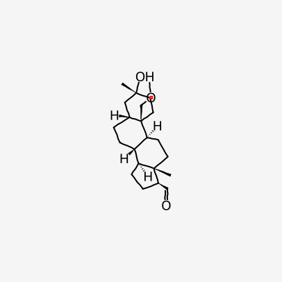 COC[C@]12CC[C@@](C)(O)C[C@H]1CC[C@H]1[C@@H]3CC[C@H](C=O)[C@@]3(C)CC[C@@H]12